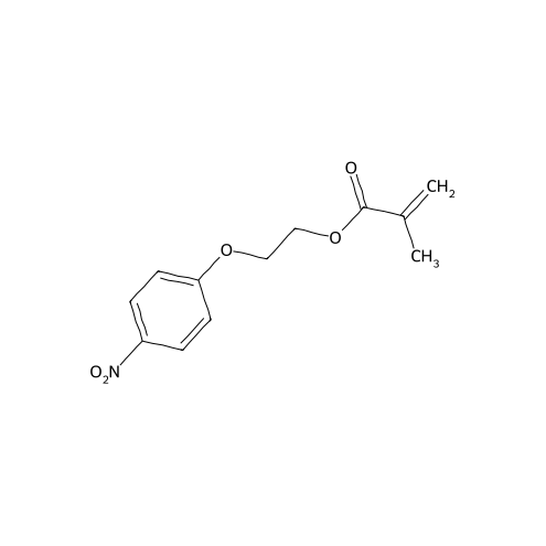 C=C(C)C(=O)OCCOc1ccc([N+](=O)[O-])cc1